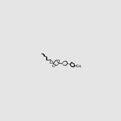 CC=CC=CCO[C@@H]1CO[C@@H]([C@H]2CC[C@H](c3ccc(C#N)cc3)CC2)CO1